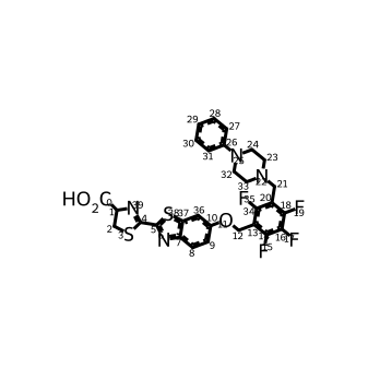 O=C(O)C1CSC(c2nc3ccc(OCc4c(F)c(F)c(F)c(CN5CCN(c6ccccc6)CC5)c4F)cc3s2)=N1